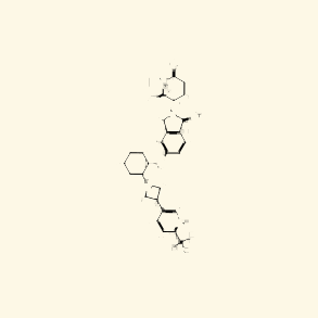 O=C1CC[C@@H](N2Cc3cc(O[C@@H]4CCCC[C@@H]4N4CC(c5ccc(C(F)(F)F)nc5)C4)ccc3C2=O)C(=O)N1